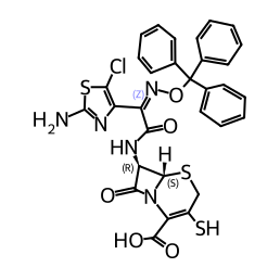 Nc1nc(/C(=N/OC(c2ccccc2)(c2ccccc2)c2ccccc2)C(=O)N[C@@H]2C(=O)N3C(C(=O)O)=C(S)CS[C@@H]23)c(Cl)s1